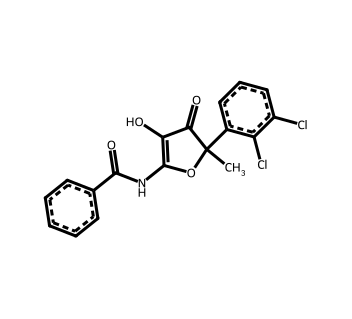 CC1(c2cccc(Cl)c2Cl)OC(NC(=O)c2ccccc2)=C(O)C1=O